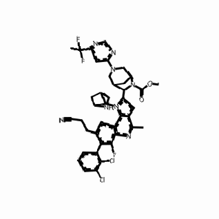 COC(=O)N1C2CC(CN(c3cc(C(C)(F)F)ncn3)C2)C1c1cc2c(C)nc3c(F)c(-c4cccc(Cl)c4Cl)c(CCC#N)cc3c2n1C1C2CNC1C2